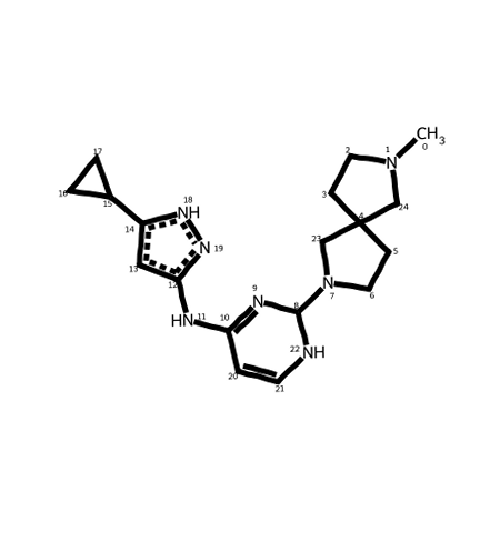 CN1CCC2(CCN(C3N=C(Nc4cc(C5CC5)[nH]n4)C=CN3)C2)C1